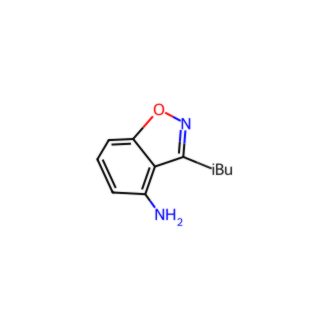 CCC(C)c1noc2cccc(N)c12